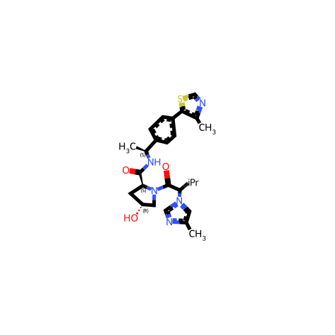 Cc1cn(C(C(=O)N2C[C@H](O)C[C@H]2C(=O)N[C@@H](C)c2ccc(-c3scnc3C)cc2)C(C)C)cn1